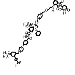 CC1(C)CCC(CN2CCN(c3ccc(C(=O)NS(=O)(=O)c4ccc(N[C@H](CCN5CCN(CCOCCNc6cccc7c6C(=O)N(C6CCC(=O)NC6=O)C7=O)CC5)CSc5ccccc5)c(S(=O)(=O)C(F)(F)F)c4)cc3)CC2)=C(C23CC(C(F)F)(C2)C3)C1